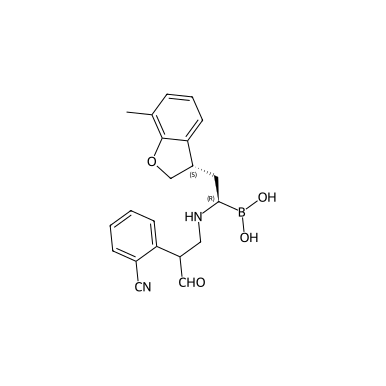 Cc1cccc2c1OC[C@H]2C[C@H](NCC(C=O)c1ccccc1C#N)B(O)O